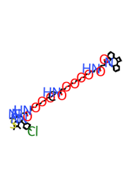 Cc1sc2c(c1C)C(c1ccc(Cl)cc1)=N[C@@H](CC(=O)NCCOCCOCCOCCNC(=O)CCOCCOCCOCCOCCNC(=O)CCC(=O)N1Cc3ccccc3C3C=CC3c3ccccc31)c1nnc(C)n1-2